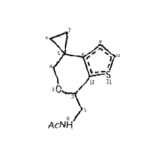 CC(=O)NCC1OCC2(CC2)c2ccsc21